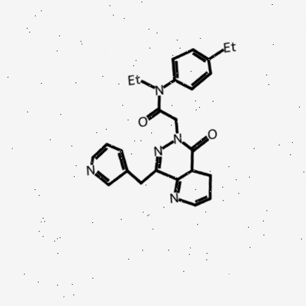 CCc1ccc(N(CC)C(=O)CN2N=C(Cc3cccnc3)C3=NC=CCC3C2=O)cc1